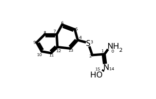 N/C(CSc1ccc2ccccc2c1)=N/O